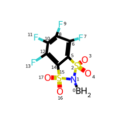 BN1S(=O)(=O)c2c(F)c(F)c(F)c(F)c2S1(=O)=O